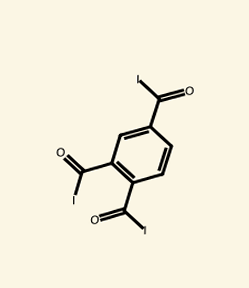 O=C(I)c1ccc(C(=O)I)c(C(=O)I)c1